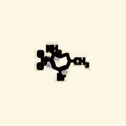 CC1\C=C(Br)/C=C([N+](=O)[O-])\C(N)=C\C1